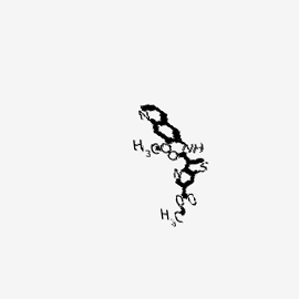 CCOC(=O)c1cnc2c(C(=O)Nc3cc4cccnc4cc3OC)csc2c1